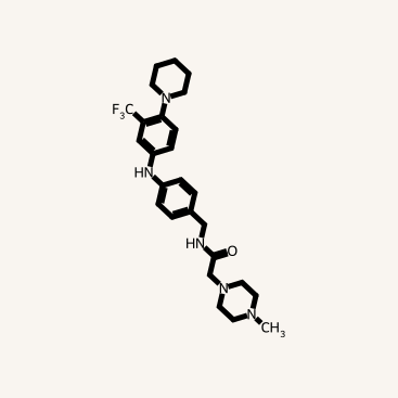 CN1CCN(CC(=O)NCc2ccc(Nc3ccc(N4CCCCC4)c(C(F)(F)F)c3)cc2)CC1